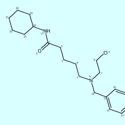 O=C(CCCCN(CCCl)Cc1ccccc1)NC1CCCCC1